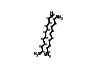 NCCCCCCCCCCN.NCCCCCCCCCCN